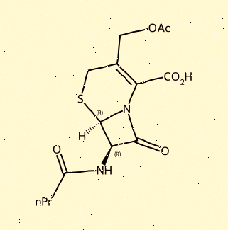 CCCC(=O)N[C@@H]1C(=O)N2C(C(=O)O)=C(COC(C)=O)CS[C@H]12